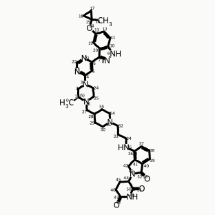 C[C@H]1CN(c2cc(-c3n[nH]c4ccc(OC5(C)CC5)cc34)ncn2)CCN1CC1CCN(CCCNc2cccc3c2CN(C2CCC(=O)NC2=O)C3=O)CC1